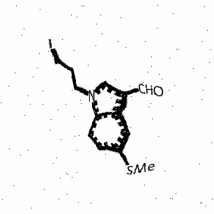 CSc1ccc2c(c1)c(C=O)cn2CCCI